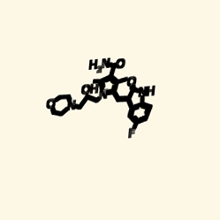 Cc1c(C(N)=O)c(C)n(C[C@@H](O)CN2CCOCC2)c1/C=C1\C(=O)Nc2ccc(F)cc21